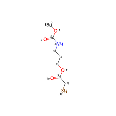 CC(C)(C)OC(=O)NCCCOC(=O)CS